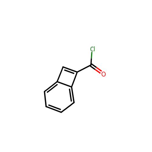 O=C(Cl)C1=Cc2ccccc21